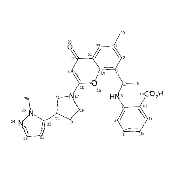 Cc1cc(C(C)Nc2ccccc2C(=O)O)c2oc(N3CCC(c4ccnn4C)C3)cc(=O)c2c1